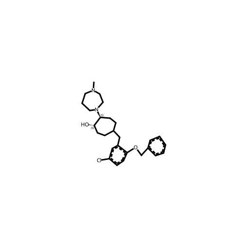 CN1CCCN([C@H]2CCC(Cc3cc(Cl)ccc3OCc3ccccc3)CC[C@@H]2O)CC1